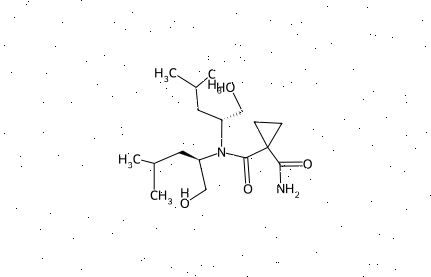 CC(C)C[C@H](CO)N(C(=O)C1(C(N)=O)CC1)[C@@H](CO)CC(C)C